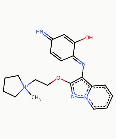 C[N+]1(CCOc2nn3ccccc3c2/N=C2\C=CC(=N)C=C2O)CCCC1